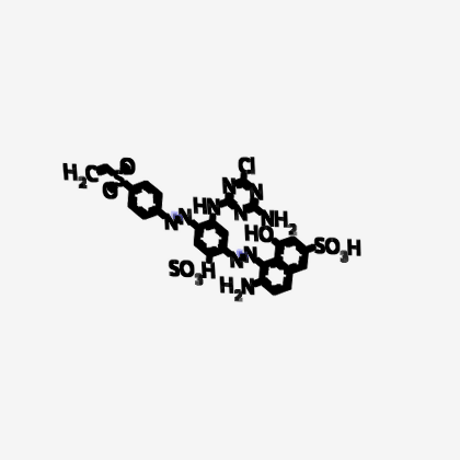 C=CS(=O)(=O)c1ccc(/N=N/c2cc(S(=O)(=O)O)c(/N=N/c3c(N)ccc4cc(S(=O)(=O)O)cc(O)c34)cc2Nc2nc(N)nc(Cl)n2)cc1